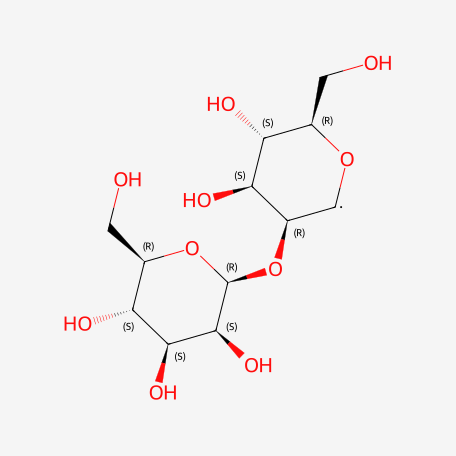 OC[C@H]1O[C@@H](O[C@@H]2[CH]O[C@H](CO)[C@@H](O)[C@@H]2O)[C@@H](O)[C@@H](O)[C@@H]1O